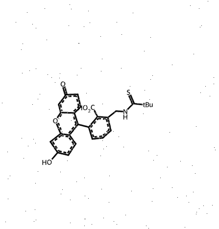 CC(C)(C)C(=S)NCc1cccc(-c2c3ccc(=O)cc-3oc3cc(O)ccc23)c1C(=O)O